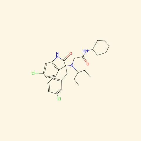 CCC(CC)N(CC(=O)NC1CCCCC1)C1(Cc2cccc(Cl)c2)C(=O)Nc2cc(Cl)ccc21